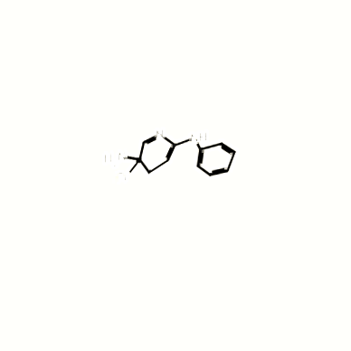 CC(C)C1(N)C=NC(Nc2ccccc2)=CC1